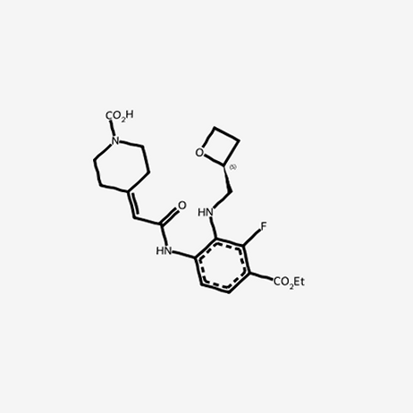 CCOC(=O)c1ccc(NC(=O)C=C2CCN(C(=O)O)CC2)c(NC[C@@H]2CCO2)c1F